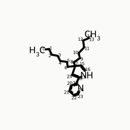 CCCCCCCC1(CCCCCCC)C=CNC(c2ccccn2)=C1